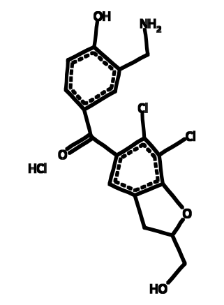 Cl.NCc1cc(C(=O)c2cc3c(c(Cl)c2Cl)OC(CO)C3)ccc1O